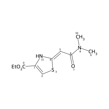 CCOC(=O)C1=CS/C(=C\C(=O)N(C)C)N1